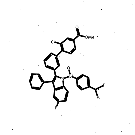 COC(=O)c1ccc(-c2cccc(-c3c(-c4ccccc4)c4cc(F)ccc4n3[S+]([O-])c3ccc(C(F)F)cc3)c2)c(Cl)c1